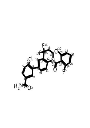 NC(=O)c1ccc(Cl)c(-c2ccc3c(c2)C(F)(F)CCN3C(=O)c2c(F)cccc2Cl)c1